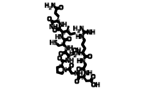 CC[C@H](C)[C@H](NC(=O)[C@H](CS)NC(=O)[C@H](CO)NC(=O)[C@@H]1CCCN1C(=O)CNC(=O)[C@H](CC(=O)O)NC(=O)CNC(=O)[C@@H](N)CCCNC(=N)N)C(=O)N[C@@H](CCC(N)=O)C(N)=O